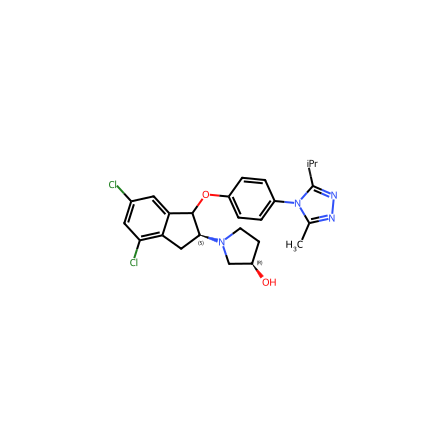 Cc1nnc(C(C)C)n1-c1ccc(OC2c3cc(Cl)cc(Cl)c3C[C@@H]2N2CC[C@@H](O)C2)cc1